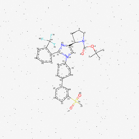 CC(C)(C)OC(=O)N1CCC[C@@H]1c1cn(-c2ccc(-c3cccc(S(C)(=O)=O)c3)cc2)c(-c2ccccc2C(F)(F)F)n1